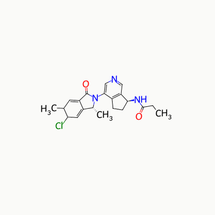 CCC(=O)N[C@H]1CCc2c1cncc2N1C(=O)C2=CC(C)C(Cl)C=C2[C@H]1C